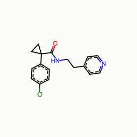 O=C(NCCc1ccncc1)C1(c2ccc(Cl)cc2)CC1